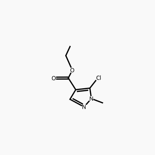 CCOC(=O)c1cnn(C)c1Cl